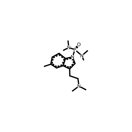 Cc1ccc2c(c1)c(CCN(C)C)cn2P(=O)(N(C)C)N(C)C